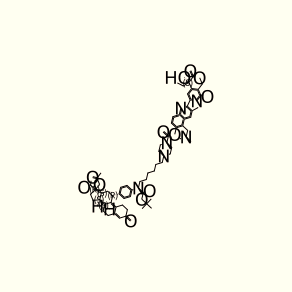 CC[C@@]1(O)C(=O)OCc2c1cc1n(c2=O)Cc2cc3c(CN(C)C)c(OC(=O)N4CCN(CCCCCCN(C(=O)OC(C)(C)C)c5ccc([C@H]6C[C@@]7(C)[C@@H](CC[C@]7(OC(C)=O)C(C)=O)[C@@H]7CCC8=CC(=O)CCC8=C76)cc5)CC4)ccc3nc2-1